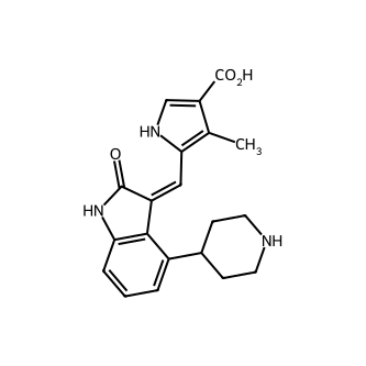 Cc1c(C(=O)O)c[nH]c1C=C1C(=O)Nc2cccc(C3CCNCC3)c21